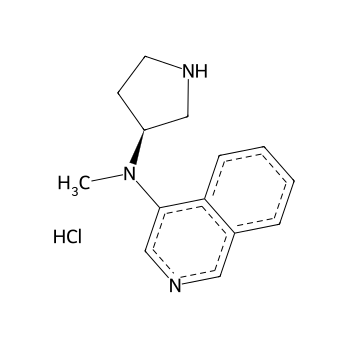 CN(c1cncc2ccccc12)[C@H]1CCNC1.Cl